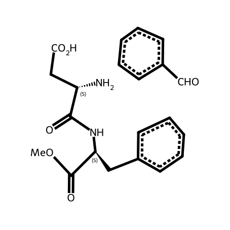 COC(=O)[C@H](Cc1ccccc1)NC(=O)[C@@H](N)CC(=O)O.O=Cc1ccccc1